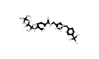 CC(C)(C)OC(=O)C(C)(C)Sc1ccc(C(=O)OCc2cn(Cc3ccc(C(F)(F)F)cc3)nn2)cc1